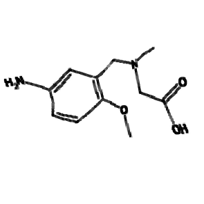 COc1ccc(N)cc1CN(C)CC(=O)O